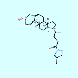 CC1CCN(C(=O)CCC(C)[C@H]2CC[C@H]3[C@@H]4CC=C5C[C@@H](O)CC[C@]5(C)[C@H]4CC[C@]23C)C1